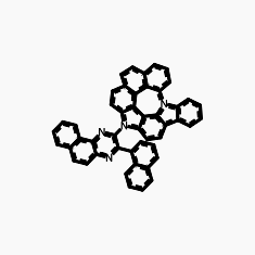 c1ccc2c(-c3nc4ccc5ccccc5c4nc3-n3c4ccc5ccc6cccc7c6c5c4c4c3ccc3c5ccccc5n7c34)cccc2c1